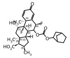 C[C@@H]1C[C@H]2[C@@H]3C(OC(=O)OC4CC5CCC4C5)[C@H](F)C4=CC(=O)C=C[C@]4(C)[C@@]3(F)[C@@H](O)C[C@]2(C)[C@@H]1C(=O)O